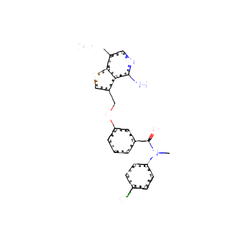 CCOC(=O)c1cnc(N)c2c(COc3cccc(C(=O)N(C)c4ccc(Cl)cc4)c3)csc12